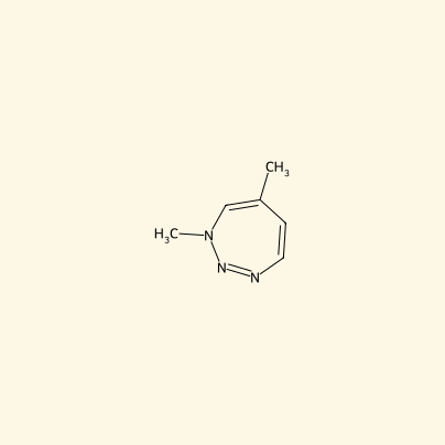 CC1=CN(C)N=NC=C1